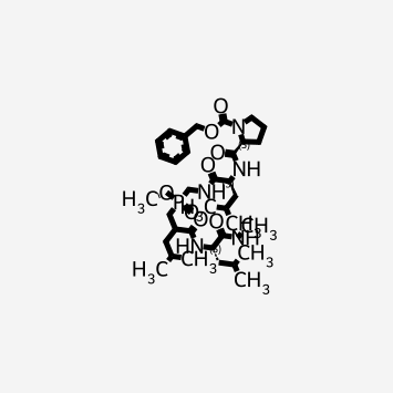 CNC(=O)[C@H](CC(C)C)NC(=O)C(CC(C)C)CP(=O)(CNC(=O)[C@H](CC(C)C)NC(=O)[C@@H]1CCCN1C(=O)OCc1ccccc1)OC